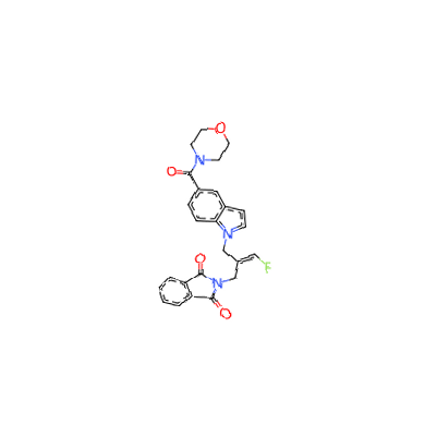 O=C(c1ccc2c(ccn2CC(=CF)CN2C(=O)c3ccccc3C2=O)c1)N1CCOCC1